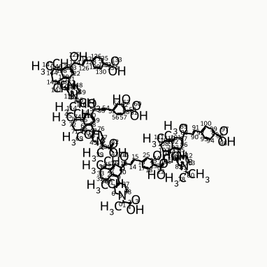 CC(C(=O)O)N1CC=C(c2cc(C(=O)C=Cc3ccc(C(=O)O)c(O)c3)cc3c2C(C)(C)CCC3(C)C)CC1.CC(C(=O)O)N1CC=C(c2cc(C(O)C#Cc3ccc(C(=O)O)c(O)c3)cc3c2C(C)(C)CCC3(C)C)CC1.CC(C)N1CCN(c2cc(C(=O)C=Cc3ccc(C(=O)O)cc3)cc3c2C(C)(C)CCC3(C)C)CC1.CC(C)N1CCN(c2cc(C(O)C=Cc3ccc(C(=O)O)cc3)cc3c2C(C)(C)CCC3(C)C)CC1